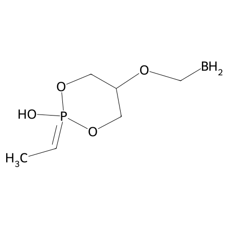 BCOC1COP(O)(=CC)OC1